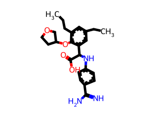 CCCc1cc(CC)cc(C(Nc2ccc(C(=N)N)cc2)C(=O)O)c1OC1CCOC1